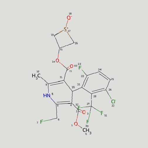 COC(=O)C1=C(CF)NC(C)=C(C(=O)OC2C[S+]([O-])C2)C1c1c(F)ccc(Cl)c1C(F)(F)F